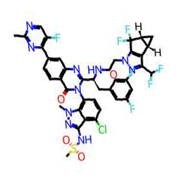 Cc1ncc(F)c(-c2ccc3c(=O)n(-c4ccc(Cl)c5c(NS(C)(=O)=O)nn(C)c45)c([C@H](Cc4cc(F)cc(F)c4)NC(=O)Cn4nc(C(F)F)c5c4C(F)(F)[C@@H]4C[C@H]54)nc3c2)n1